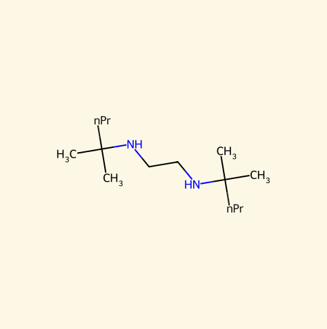 CCCC(C)(C)NCCNC(C)(C)CCC